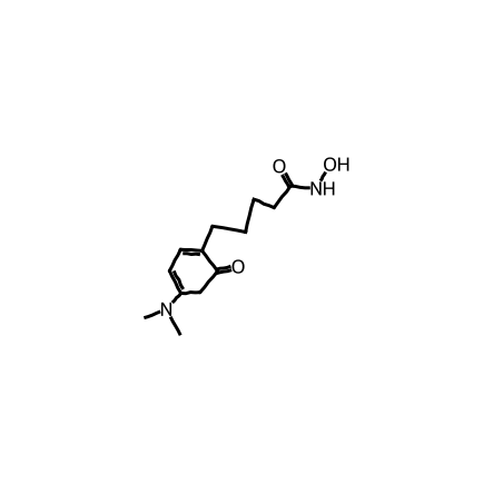 CN(C)C1=CC=C(CCCCC(=O)NO)C(=O)C1